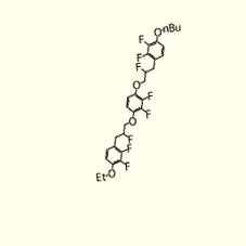 CCCCOc1ccc(CC(F)COc2ccc(OCC(F)Cc3ccc(OCC)c(F)c3F)c(F)c2F)c(F)c1F